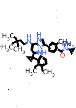 CCc1cccc(C2(C(=N)/C=C(/NCCC(CC)(CC)CC)C3NC=C(c4ccc(C(=O)N(N)C5CC5)c(C)c4)N3)CC2)c1CC